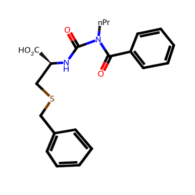 CCCN(C(=O)N[C@@H](CSCc1ccccc1)C(=O)O)C(=O)c1ccccc1